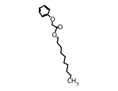 CCCCCCCCCCOC(=O)COc1ccccc1